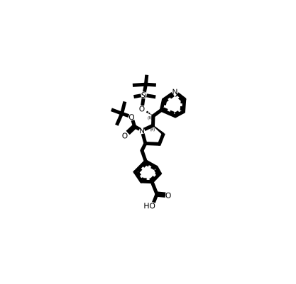 CC(C)(C)OC(=O)N1C(Cc2ccc(C(=O)O)cc2)CC[C@@H]1[C@H](O[Si](C)(C)C(C)(C)C)c1cccnc1